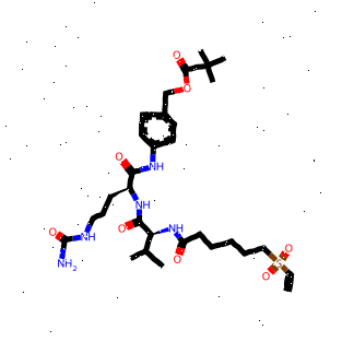 C=CS(=O)(=O)CCCCCC(=O)N[C@H](C(=O)N[C@@H](CCCNC(N)=O)C(=O)Nc1ccc(COC(=O)C(C)(C)C)cc1)C(C)C